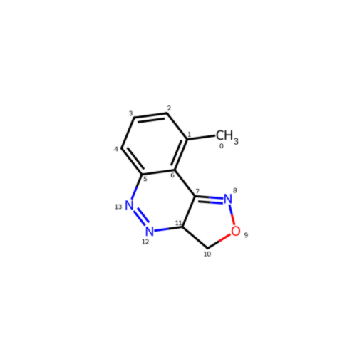 Cc1cccc2c1C1=NOCC1N=N2